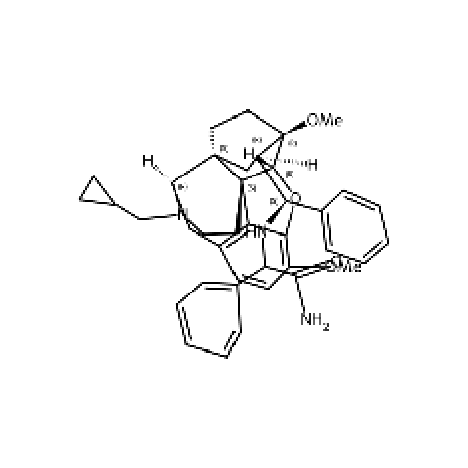 COc1ccc2c3c1O[C@H]1[C@@]4(OC)CC[C@@]5(C[C@@H]4[C@H](NC(C(N)=O)c4ccccc4)c4ccccc4)[C@@H](C2)N(CC2CC2)CC[C@]315